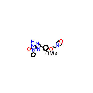 COc1cc(-c2cnc3[nH]c(=O)n(C4CCCC4)c3n2)ccc1OCCN1CCOCC1